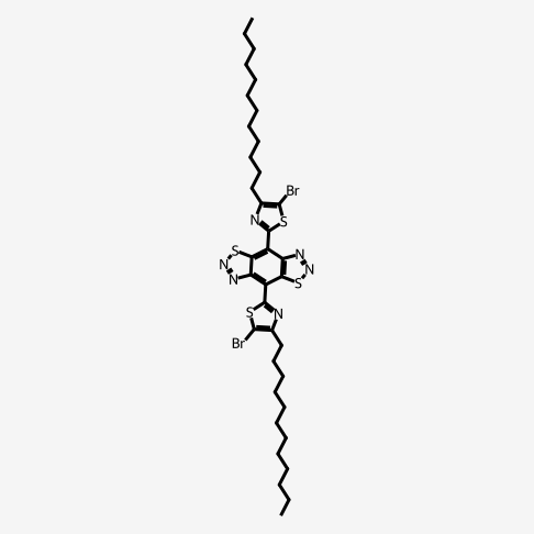 CCCCCCCCCCCCc1nc(-c2c3nnsc3c(-c3nc(CCCCCCCCCCCC)c(Br)s3)c3nnsc23)sc1Br